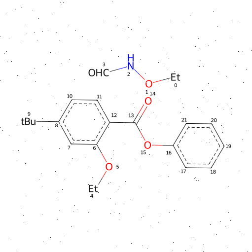 CCONC=O.CCOc1cc(C(C)(C)C)ccc1C(=O)Oc1ccccc1